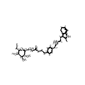 Cc1[nH]c2ccccc2c1CCNCc1ccc(CCCC(=O)NO[C@@H]2O[C@H](CF)[C@H](O)[C@H](O)[C@H]2O)cc1